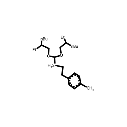 CCCCC(CC)COC(OCC(CC)CCCC)[SiH2]CCc1ccc(C)cc1